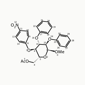 CO[C@H]1O[C@H](COC(C)=O)[C@@H](Oc2ccc([N+](=O)[O-])cc2)[C@H](Oc2ccccc2)[C@H]1Oc1ccccc1